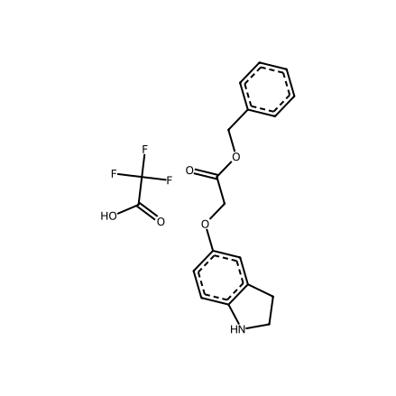 O=C(COc1ccc2c(c1)CCN2)OCc1ccccc1.O=C(O)C(F)(F)F